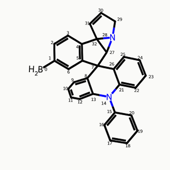 Bc1ccc2c(c1)C1(c3ccccc3N(c3ccccc3)c3ccccc31)C1N3CC=CC213